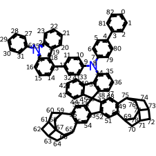 c1ccc(-c2ccc(N(c3ccc(-c4cccc5c4c4ccccc4n5-c4ccccc4)cc3)c3cccc4c3-c3ccccc3C43c4cc5c(cc4-c4cc6c(cc43)C3CC4CC7CC6CC74C3)C3CC4CC6CC5CC46C3)cc2)cc1